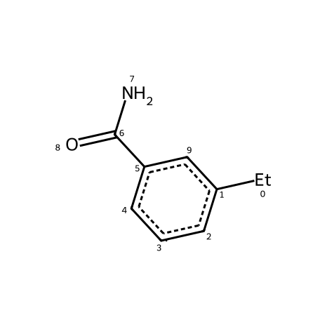 CCc1c[c]cc(C(N)=O)c1